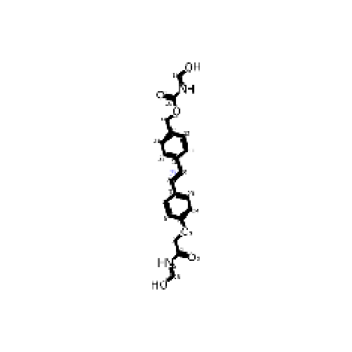 O=C(COc1ccc(/C=C/c2ccc(COC(=O)NCO)cc2)cc1)NCO